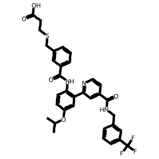 CC(C)Oc1ccc(NC(=O)c2cccc(CSCCC(=O)O)c2)c(-c2cc(C(=O)NCc3cccc(C(F)(F)F)c3)ccn2)c1